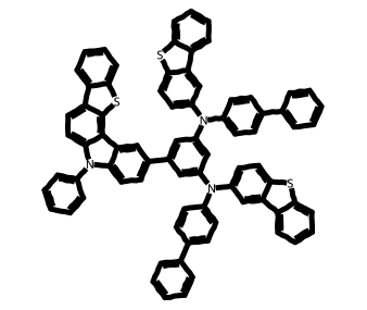 c1ccc(-c2ccc(N(c3cc(-c4ccc5c(c4)c4c6sc7ccccc7c6ccc4n5-c4ccccc4)cc(N(c4ccc(-c5ccccc5)cc4)c4ccc5sc6ccccc6c5c4)c3)c3ccc4sc5ccccc5c4c3)cc2)cc1